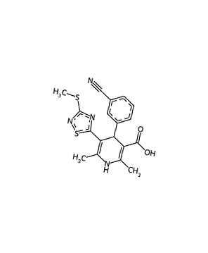 CSc1nsc(C2=C(C)NC(C)=C(C(=O)O)C2c2cccc(C#N)c2)n1